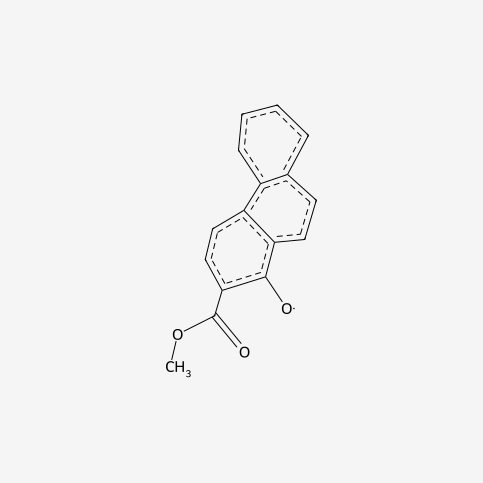 COC(=O)c1ccc2c(ccc3ccccc32)c1[O]